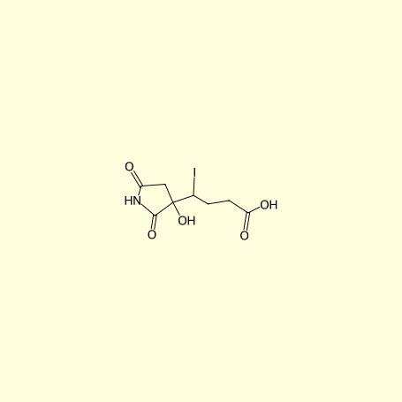 O=C(O)CCC(I)C1(O)CC(=O)NC1=O